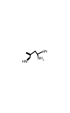 C=C(C=N)CC(N)CCC